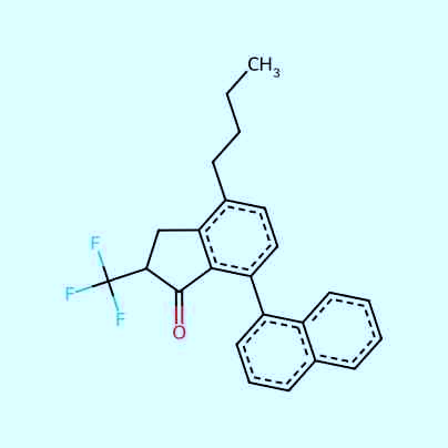 CCCCc1ccc(-c2cccc3ccccc23)c2c1CC(C(F)(F)F)C2=O